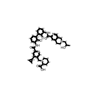 CC(O)CN1CCc2cc(C(=O)Nc3cccc(-c4cccc(NC(=O)c5cc(C6CC6)c(CN6CCCCC6C(=O)O)cn5)c4Cl)c3Cl)ncc2C1